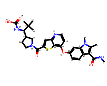 CNC(=O)c1c(C)n(C)c2cc(Oc3ccnc4cc(C(=O)N5CCC(C(NC(=O)O)C(C)(C)C)C5)sc34)ccc12